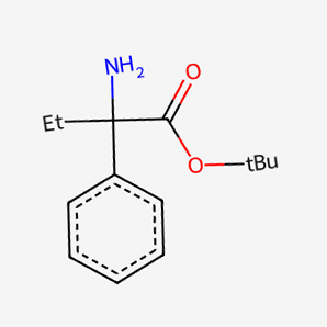 [CH2]CC(N)(C(=O)OC(C)(C)C)c1ccccc1